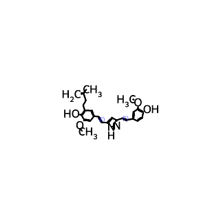 C=C(C)CCc1cc(/C=C/c2cc(/C=C/c3ccc(O)c(OC)c3)n[nH]2)cc(OC)c1O